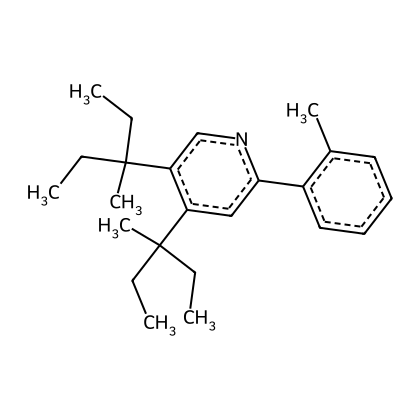 CCC(C)(CC)c1cnc(-c2ccccc2C)cc1C(C)(CC)CC